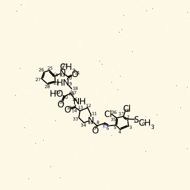 CSc1ccc(/C=C/C(=O)N2CCC(C(=O)N[C@@H](CNC(=O)N(C)c3ccccc3)C(=O)O)CC2)c(Cl)c1Cl